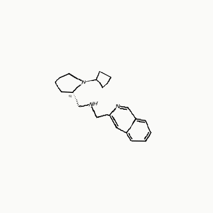 c1ccc2cc(CNC[C@@H]3CCCN3C3CCC3)ncc2c1